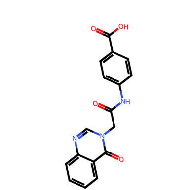 O=C(Cn1cnc2ccccc2c1=O)Nc1ccc(C(=O)O)cc1